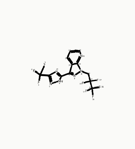 FC(F)(F)c1n[nH]c(-c2nn(CC(F)(F)C(F)(F)F)c3ncccc23)n1